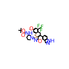 COc1ccc(CC(=C2SC(N3CCCC(NC(=O)OC(C)(C)C)C3)=NC2=O)c2ccc3[nH]ncc3c2)c(C(F)(F)F)c1